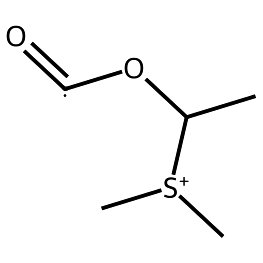 CC(O[C]=O)[S+](C)C